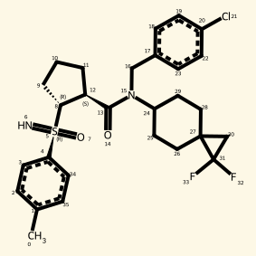 Cc1ccc([S@](=N)(=O)[C@@H]2CCC[C@H]2C(=O)N(Cc2ccc(Cl)cc2)C2CCC3(CC2)CC3(F)F)cc1